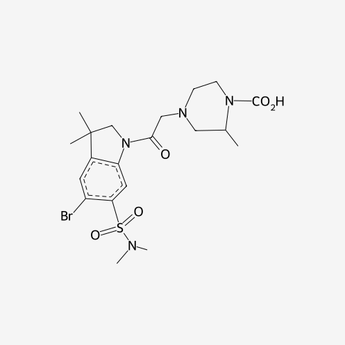 CC1CN(CC(=O)N2CC(C)(C)c3cc(Br)c(S(=O)(=O)N(C)C)cc32)CCN1C(=O)O